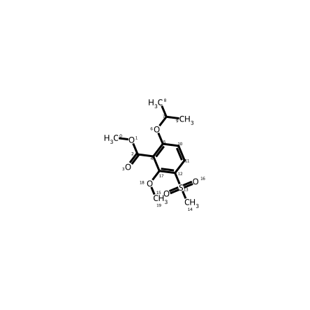 COC(=O)c1c(OC(C)C)ccc(S(C)(=O)=O)c1OC